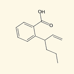 C=CC(CCC)c1ccccc1C(=O)O